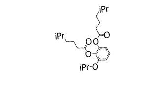 CC(C)CCCC(=O)Oc1cccc(OC(C)C)c1OC(=O)CCCC(C)C